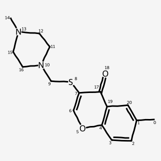 Cc1ccc2occ(SCN3CCN(C)CC3)c(=O)c2c1